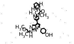 COC[C@H](C)Nc1ncc2c(-c3cnn(C(C)(C)C(=O)N4C[C@H]5CC[C@@H](C4)O5)c3)cc([C@H]3CC[C@H](O)CC3)n2n1